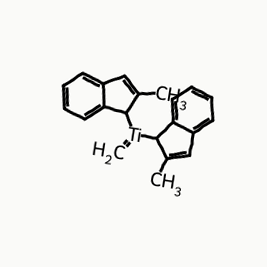 [CH2]=[Ti]([CH]1C(C)=Cc2ccccc21)[CH]1C(C)=Cc2ccccc21